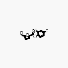 O=Cc1ccc(C(=O)Oc2ccc(F)cc2Cl)o1